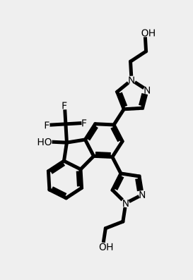 OCCn1cc(-c2cc(-c3cnn(CCO)c3)c3c(c2)C(O)(C(F)(F)F)c2ccccc2-3)cn1